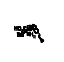 CCSC[C@H](N)[C@](O)(Cc1nccc2c1C[C@@H](CCC1CC1)C2)C(=O)O